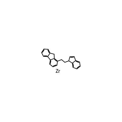 C1=CC(CCc2cccc3c2Cc2ccccc2-3)c2ccccc21.[Zr]